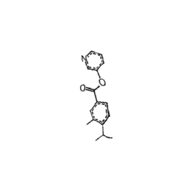 Cc1cc(C(=O)Oc2cccnc2)ccc1C(C)C